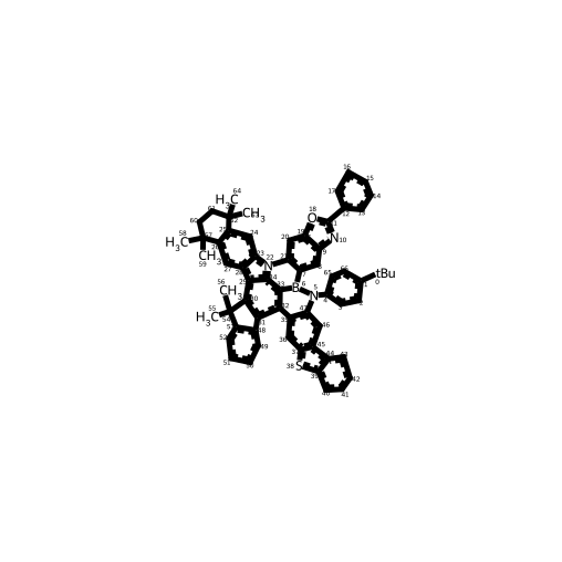 CC(C)(C)c1ccc(N2B3c4cc5nc(-c6ccccc6)oc5cc4-n4c5cc6c(cc5c5c7c(c(c3c54)-c3cc4sc5ccccc5c4cc32)-c2ccccc2C7(C)C)C(C)(C)CCC6(C)C)cc1